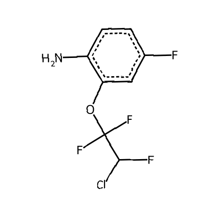 Nc1ccc(F)cc1OC(F)(F)C(F)Cl